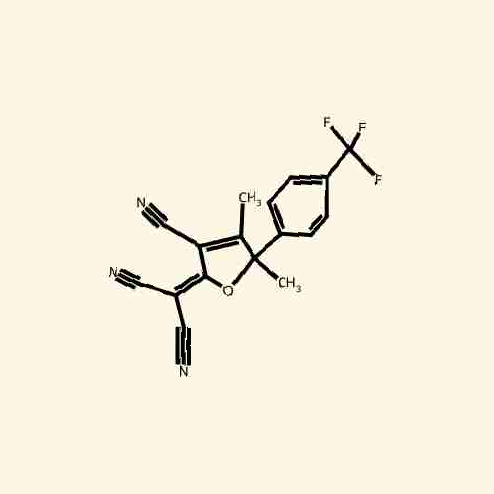 CC1=C(C#N)C(=C(C#N)C#N)OC1(C)c1ccc(C(F)(F)F)cc1